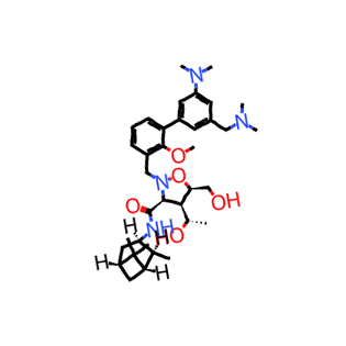 COc1c(CN2O[C@@H](CO)[C@@H]([C@H](C)O)[C@H]2C(=O)N[C@@H]2C[C@H]3C[C@@H]([C@@H]2C)C3(C)C)cccc1-c1cc(CN(C)C)cc(N(C)C)c1